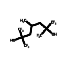 CC(CC(O)(C(F)(F)F)C(F)(F)F)CC(O)(C(F)(F)F)C(F)(F)F